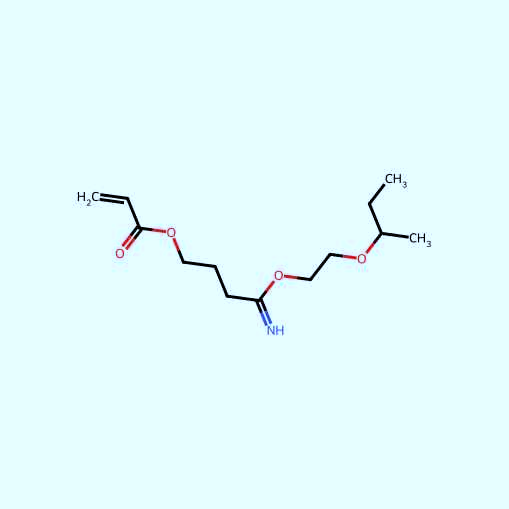 C=CC(=O)OCCCC(=N)OCCOC(C)CC